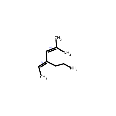 C/C=C(/C=C(/C)N)CCN